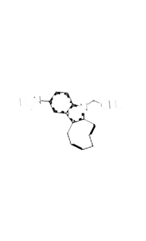 CCn1c2c(c3cc(N)ccc31)C/C=C\C/C=C/2